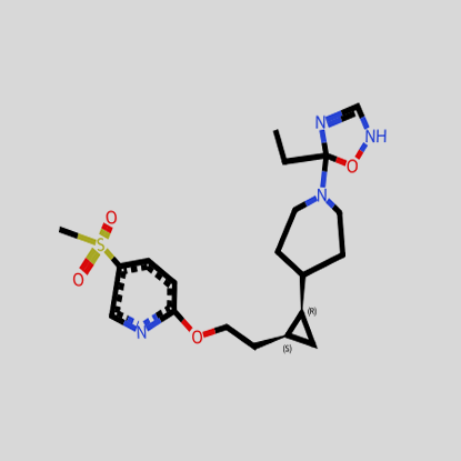 CCC1(N2CCC([C@H]3C[C@H]3CCOc3ccc(S(C)(=O)=O)cn3)CC2)N=CNO1